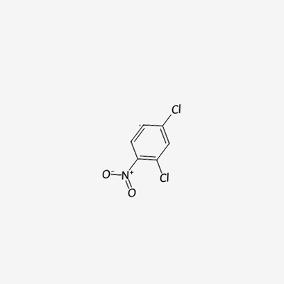 O=[N+]([O-])c1c[c]c(Cl)cc1Cl